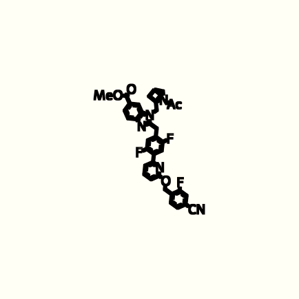 COC(=O)c1ccc2nc(Cc3cc(F)c(-c4cccc(OCc5ccc(C#N)cc5F)n4)cc3F)n(CC34CC(CN3C(C)=O)C4)c2c1